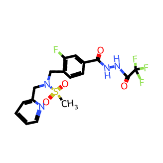 CS(=O)(=O)N(Cc1ccccn1)Cc1ccc(C(=O)NNC(=O)C(F)(F)F)cc1F